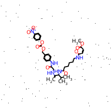 C=C(NCC(=O)Nc1ccc(COC(=O)Oc2ccc([N+](=O)[O-])cc2)cc1)C(NC(=O)CCCCCNC(=O)/C=C\C(=O)OC)C(C)C